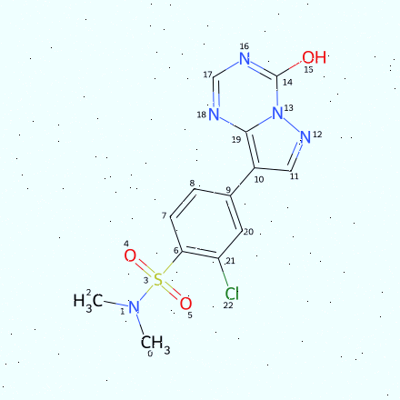 CN(C)S(=O)(=O)c1ccc(-c2cnn3c(O)ncnc23)cc1Cl